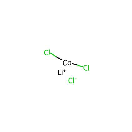 [Cl-].[Cl][Co][Cl].[Li+]